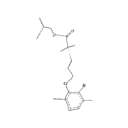 Cc1ccc(C)c(OCCCC(C)(C)C(=O)OCC(C)C)c1Br